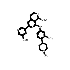 COc1cncc(-c2cc3c(c(Nc4ccc(C5CCN(C)CC5)c(C)c4)n2)C(C=O)NC=C3)n1